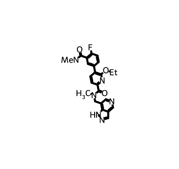 CCOc1nc(C(=O)N(C)Cc2cncc3cn[nH]c23)ccc1-c1ccc(F)c(C(=O)NC)c1